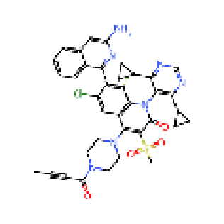 CC#CC(=O)N1CCN(c2c(S(C)(=O)=O)c(=O)n(-c3c(C4CC4)ncnc3C3CC3)c3c(F)c(-c4nc(N)cc5ccccc45)c(Cl)cc23)CC1